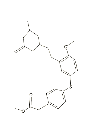 C=C1CC(C)CC(CCc2cc(Sc3ccc(CC(=O)OC)cc3)ccc2OC)C1